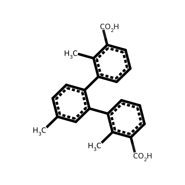 Cc1ccc(-c2cccc(C(=O)O)c2C)c(-c2cccc(C(=O)O)c2C)c1